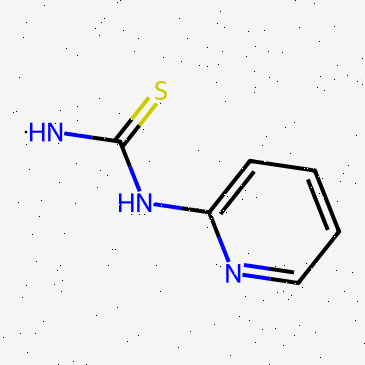 [NH]C(=S)Nc1ccccn1